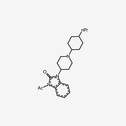 CCCC1CCC(N2CCC(n3c(=O)n(C(C)=O)c4ccccc43)CC2)CC1